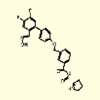 O=C(OC(=O)[C@@H]1CCCN1)c1cccc(COc2ccc(-c3cc(F)c(F)cc3C=NO)cc2)c1